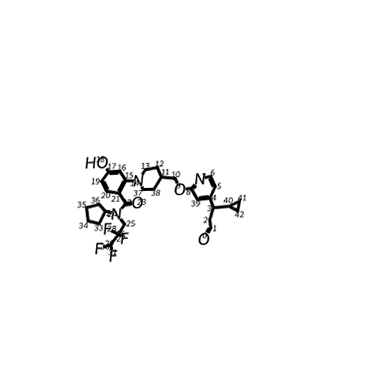 O=CCC(c1ccnc(OCC2CCN(c3cc(O)ccc3C(=O)N(CC(F)(F)C(F)F)C3CCCC3)CC2)c1)C1CC1